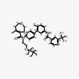 CC1=C(C(=O)N(CCO[Si](C)(C)C(C)(C)C)c2ccc(-c3cc(NC(=O)c4ccnc(C(C)(F)F)c4)ccc3C)cn2)CCOCC1